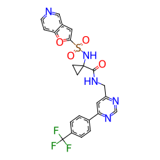 O=C(NCc1cc(-c2ccc(C(F)(F)F)cc2)ncn1)C1(NS(=O)(=O)c2cc3cnccc3o2)CC1